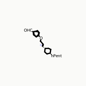 CCCCC[C@H]1CC[C@H](/C=C/COc2ccc(C=O)cc2)CC1